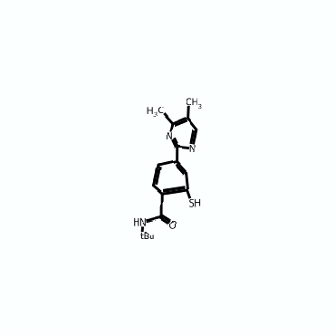 Cc1cnc(-c2ccc(C(=O)NC(C)(C)C)c(S)c2)nc1C